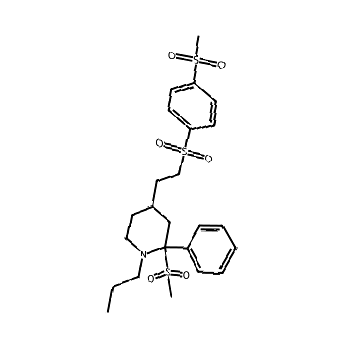 CCCN1CCC(CCS(=O)(=O)c2ccc(S(C)(=O)=O)cc2)CC1(c1ccccc1)S(C)(=O)=O